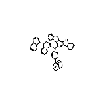 c1ccc2c(-c3ccc(N(c4ccc(C56CC7CC(CC(C7)C5)C6)cc4)c4cc5c6ccccc6oc5c5sc6ccccc6c45)c4ccccc34)cccc2c1